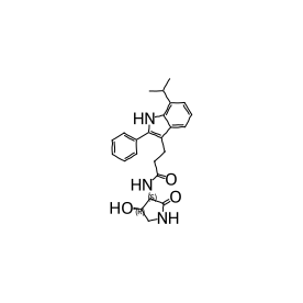 CC(C)c1cccc2c(CCC(=O)N[C@@H]3C(=O)NC[C@H]3O)c(-c3ccccc3)[nH]c12